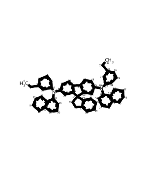 CCc1cccc(N(c2ccc3c(c2)C2(CCc4ccccc42)c2cc(N(c4cccc(CC)c4)c4cccc5ccccc45)ccc2-3)c2cccc3ccccc23)c1